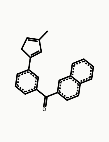 CC1=CCC(c2cccc(C(=O)c3ccc4ccccc4c3)c2)=C1